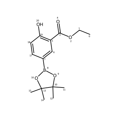 CCOC(=O)c1cc(B2OC(C)(C)C(C)(C)O2)ccc1O